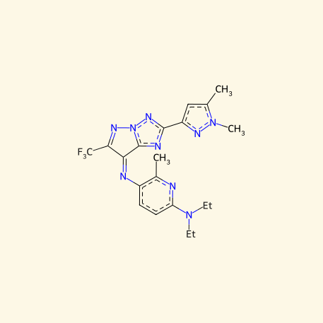 CCN(CC)c1ccc(/N=C2/C(C(F)(F)F)=Nn3nc(-c4cc(C)n(C)n4)nc32)c(C)n1